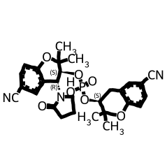 CC1(C)Oc2ccc(C#N)cc2C[C@@H]1OP(=O)(O)O[C@H]1[C@H](N2CCCC2=O)c2cc(C#N)ccc2OC1(C)C